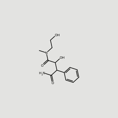 CN(CCO)C(=O)C(O)C(C(N)=O)c1ccccc1